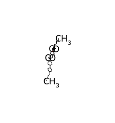 CCCCCC(=O)Oc1ccc(OC(=O)C2CCC(C3CCC(CCCCC)CC3)CC2)cc1